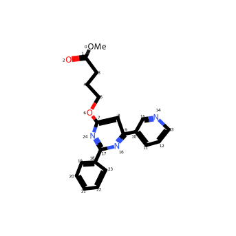 COC(=O)CCCOc1cc(-c2cccnc2)nc(-c2ccccc2)n1